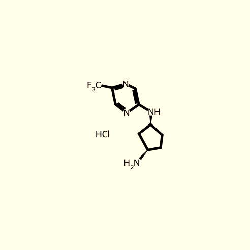 Cl.N[C@@H]1CC[C@H](Nc2cnc(C(F)(F)F)cn2)C1